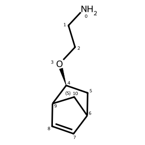 NCCO[C@H]1CC2C=CC1C2